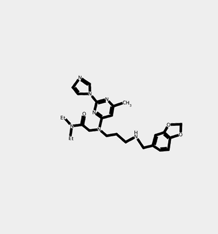 CCN(CC)C(=O)CN(CCCNCc1ccc2c(c1)OCO2)c1cc(C)nc(-n2ccnc2)n1